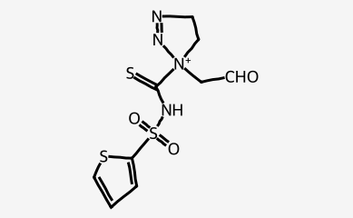 O=CC[N+]1(C(=S)NS(=O)(=O)c2cccs2)CCN=N1